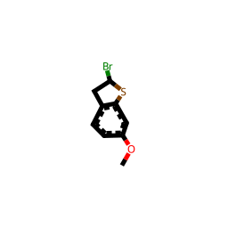 COc1ccc2c(c1)SC(Br)C2